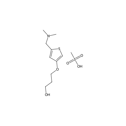 CN(C)Cc1cc(OCCCO)cs1.CS(=O)(=O)O